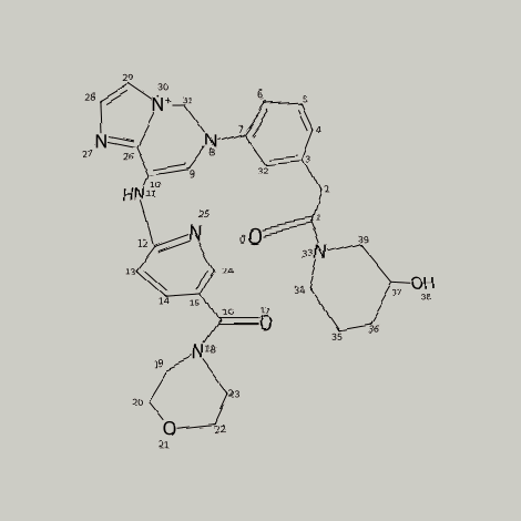 O=C(Cc1cccc(N2C=C(Nc3ccc(C(=O)N4CCOCC4)cn3)C3=NC=C[N+]3C2)c1)N1CCCC(O)C1